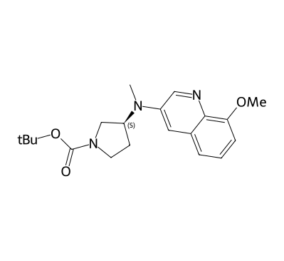 COc1cccc2cc(N(C)[C@H]3CCN(C(=O)OC(C)(C)C)C3)cnc12